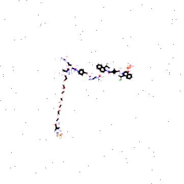 CC(C)[C@H](NC(=O)CCOCCOCCOCCOCCOCCOCCNC(=O)c1cnc(S(C)(=O)=O)nc1)C(=O)N[C@@H](CCCNC(N)=O)C(=O)Nc1ccc(COC(=O)N(C)CCN(C)C(=O)Oc2cc3c(c4ccccc24)[C@H](CCl)CN3C(=O)C23CC(C(=O)N4C[C@@H](CCl)c5c4cc(OP(=O)(O)O)c4ccccc54)(C2)C3)cc1